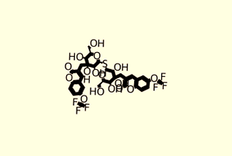 O=c1oc2ccc(OC(F)(F)F)cc2cc1C[C@]1(O)[C@@H](O)[C@@H](CO)O[C@@H](S[C@@H]2O[C@H](CO)[C@H](O)[C@@](O)(Cc3cc4cc(OC(F)(F)F)ccc4oc3=O)[C@H]2O)[C@@H]1O